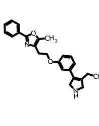 CCC1=C(c2cccc(OCCc3nc(-c4ccccc4)oc3C)c2)CNC1